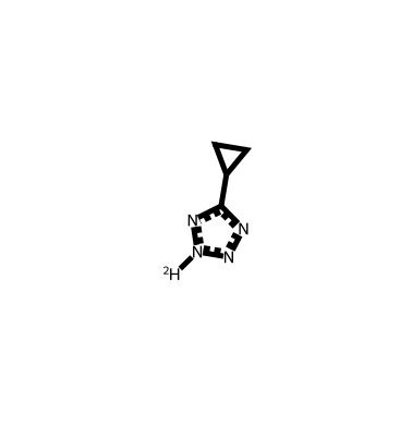 [2H]n1nnc(C2CC2)n1